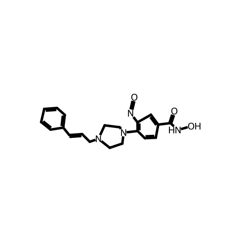 O=Nc1cc(C(=O)NO)ccc1N1CCN(C/C=C/c2ccccc2)CC1